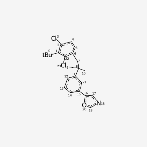 CC(C)(C)c1c(Cl)ccc(CC(C)(C)c2cccc(-c3cnco3)c2)c1Cl